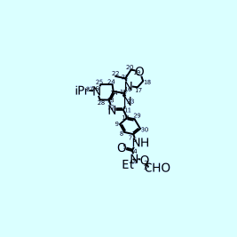 CCN(OC=O)C(=O)Nc1ccc(-c2nc3c(c(N4CCOCC4C)n2)CCN(C(C)C)C3)cc1